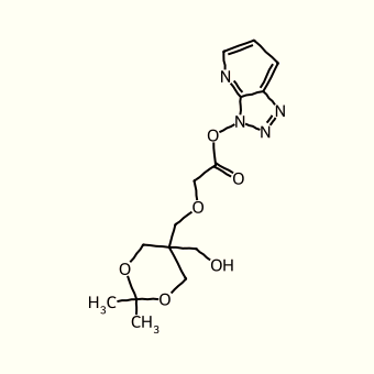 CC1(C)OCC(CO)(COCC(=O)On2nnc3cccnc32)CO1